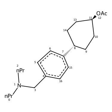 CCCN(CCC)Cc1ccc([C@H]2CC[C@H](OC(C)=O)CC2)cc1